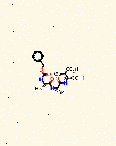 CC(C)[C@H](NC(=O)[C@H](C)NC(=O)OCc1ccccc1)C(=O)N[C@H](C(=O)O)C(C(=O)O)C(C)(C)C